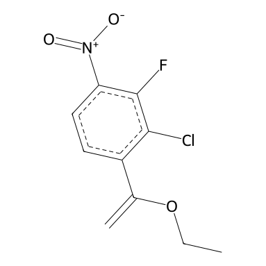 C=C(OCC)c1ccc([N+](=O)[O-])c(F)c1Cl